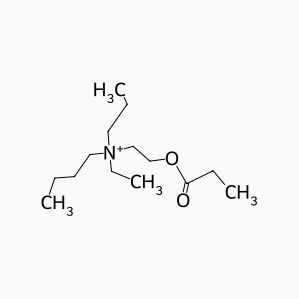 CCCC[N+](CC)(CCC)CCOC(=O)CC